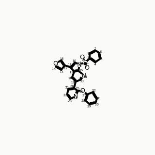 O=S(=O)(c1ccccc1)n1cc(-c2ccoc2)c2cc(-c3cccnc3Oc3ccccc3)cnc21